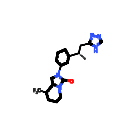 C[C@@H](Cc1nnc[nH]1)c1cccc(-n2cc3c(C(F)(F)F)cccn3c2=O)c1